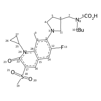 Cc1c(N2CCC(CN(C(=O)O)C(C)(C)C)C2)c(F)cc2cc(S(C)(=O)=O)c(=O)n(C3CC3)c12